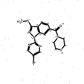 CSc1nn(-c2ncc(Br)cn2)c2cc(C(=O)N3CCOCC3)ccc12